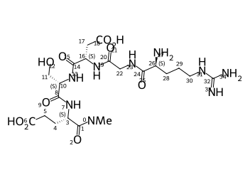 CNC(=O)[C@H](CCC(=O)O)NC(=O)[C@H](CO)NC(=O)[C@H](CC(=O)O)NC(=O)CNC(=O)[C@@H](N)CCCNC(=N)N